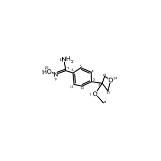 COC1(c2ccc(/C(N)=N/O)cc2)COC1